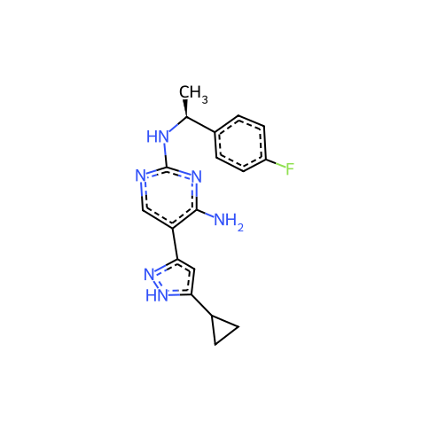 C[C@H](Nc1ncc(-c2cc(C3CC3)[nH]n2)c(N)n1)c1ccc(F)cc1